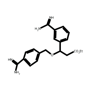 CCOC(=O)CC(OCc1ccc(C(=N)N)cc1)c1cccc(C(=N)N)c1